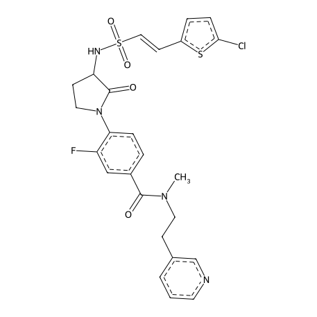 CN(CCc1cccnc1)C(=O)c1ccc(N2CCC(NS(=O)(=O)C=Cc3ccc(Cl)s3)C2=O)c(F)c1